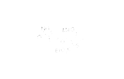 CCOC(=O)c1sc2cccc(OC)c2c1COc1ccc(C(N)=O)cc1